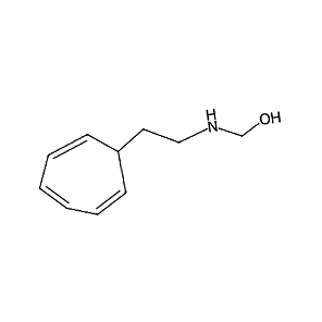 OCNCCC1C=CC=CC=C1